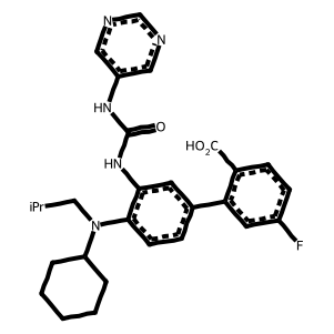 CC(C)CN(c1ccc(-c2cc(F)ccc2C(=O)O)cc1NC(=O)Nc1cncnc1)C1CCCCC1